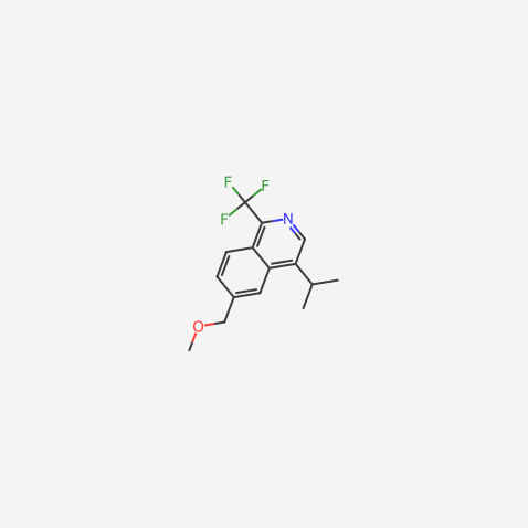 COCc1ccc2c(C(F)(F)F)ncc(C(C)C)c2c1